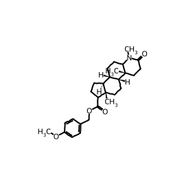 COc1ccc(COC(=O)C2CC[C@H]3[C@@H]4CCC5N(C)C(=O)CC[C@]5(C)[C@@H]4CC[C@]23C)cc1